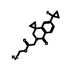 CCOC(=O)CN1CC2(CC2)c2cc(C3(F)CC3)ccc2C1=O